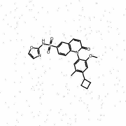 COc1cc(C2CCC2)c(C)cc1-n1c(=O)ccc2cc(S(=O)(=O)Nc3ncco3)ccc21